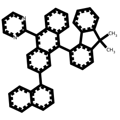 CC1(C)c2ccccc2-c2c(-c3c4ccccc4c(-c4ncccn4)c4ccc(-c5cccc6ccccc56)cc34)cccc21